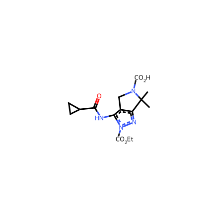 CCOC(=O)n1nc2c(c1NC(=O)C1CC1)CN(C(=O)O)C2(C)C